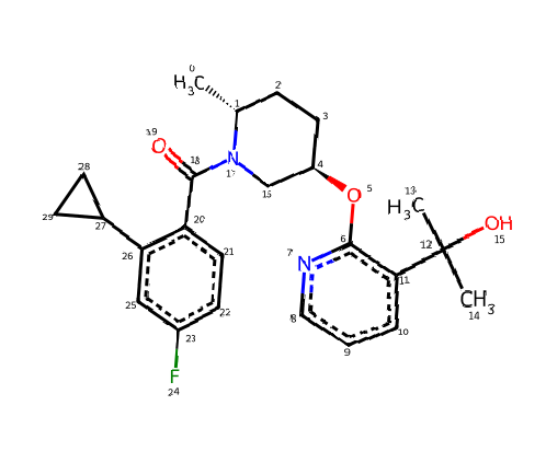 C[C@@H]1CC[C@@H](Oc2ncccc2C(C)(C)O)CN1C(=O)c1ccc(F)cc1C1CC1